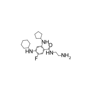 NCCNC(=O)c1cc(F)c(NC2CCCCC2)cc1NC1CCCC1